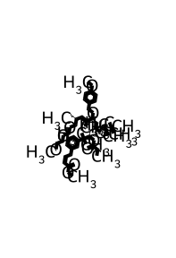 CCC(=O)O[C@@H](C[C@@H](C[C@H](OCc1ccc(OC)cc1)C(C)=C[C@@H](CC)COCOCCOC)O[Si](C)(C)C(C)(C)C)C(C)(C)c1cccc(C/C=C\C(=O)OC)c1